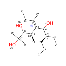 CCC[C@H](CC)C(O)/C(=C(\C)CC)[C@@H](C)C(O)C(C)(C)O